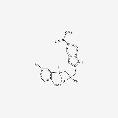 COC(=O)c1ccc2[nH]c(CC(O)(CC(C)(C)c3cc(Br)ccc3OC)C(F)(F)F)cc2c1